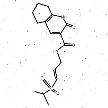 CC(C)S(=O)(=O)/C=C/CNC(=O)c1cc2c([nH]c1=O)CCCC2